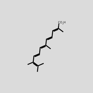 CC(C)=C(C)/C=C/C=C(C)/C=C/C=C(\C)C(=O)O